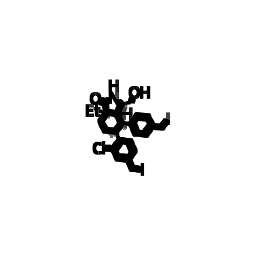 CC[C@@]12CC[C@@H](c3ccc(CI)cc3Cl)[C@H](c3ccc(CI)cc3)[C@@H]1[C@@H](CO)NC2=O